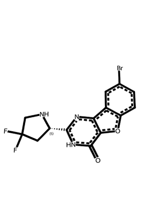 O=c1[nH]c([C@@H]2CC(F)(F)CN2)nc2c1oc1ccc(Br)cc12